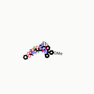 C#C[C@]1(F)[C@H](n2cnc3c(OCC)nc(NC(c4ccccc4)(c4ccccc4)c4ccc(OC)cc4)nc32)O[C@](F)(COP(C)(=O)N[C@@H](C)C(=O)OC2CCCCC2)[C@H]1C